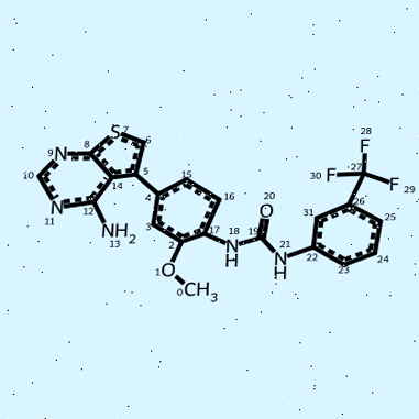 COc1cc(-c2csc3ncnc(N)c23)ccc1NC(=O)Nc1cccc(C(F)(F)F)c1